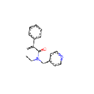 C=C(C(=O)N(CC)Cc1ccncc1)c1ccccc1